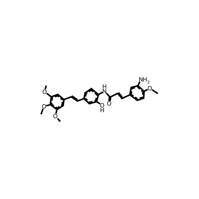 COc1ccc(/C=C/C(=O)Nc2ccc(C=Cc3cc(OC)c(OC)c(OC)c3)cc2O)cc1N